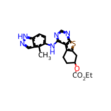 CCOC(=O)OC1CCc2c(sc3ncnc(Nc4ccc5[nH]ncc5c4C)c23)C1